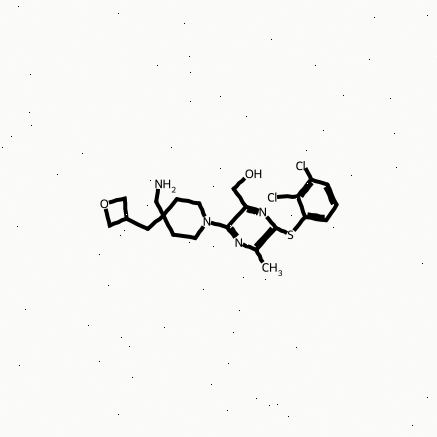 Cc1nc(N2CCC(CN)(CC3COC3)CC2)c(CO)nc1Sc1cccc(Cl)c1Cl